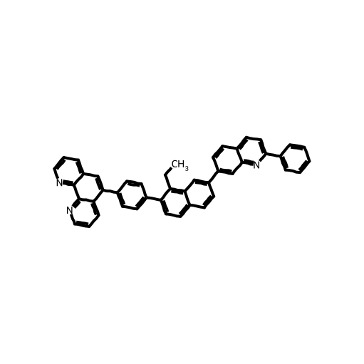 CCc1c(-c2ccc(-c3cc4cccnc4c4ncccc34)cc2)ccc2ccc(-c3ccc4ccc(-c5ccccc5)nc4c3)cc12